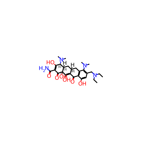 CCN(CC)Cc1cc(O)c2c(c1N(C)C)C[C@H]1C[C@H]3[C@H](N(C)C)C(O)=C(C(N)=O)C(=O)[C@@]3(O)C(O)=C1C2=O